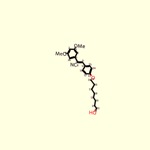 COc1cc(OC)cc(/C(C#N)=C/c2ccc(OCCCCCCCCO)cc2)c1